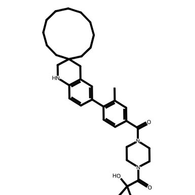 Cc1cc(C(=O)N2CCN(C(=O)C3(O)CC3)CC2)ccc1-c1ccc2c(c1)CC1(CCCCCCCCCCC1)CN2